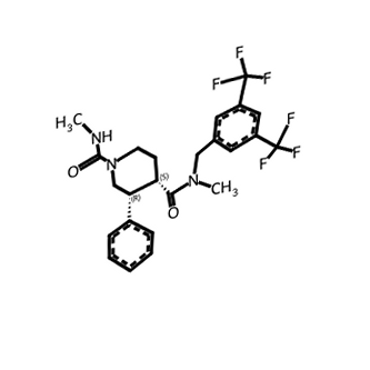 CNC(=O)N1CC[C@H](C(=O)N(C)Cc2cc(C(F)(F)F)cc(C(F)(F)F)c2)[C@H](c2ccccc2)C1